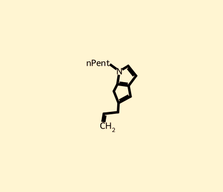 C=CCC1=Cc2ccn(CCCCC)c2C1